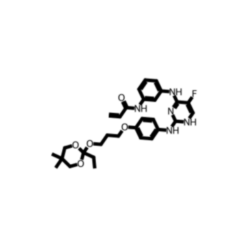 C=CC(=O)Nc1cccc(NC2=NC(Nc3ccc(OCCCOC4(CC)OCC(C)(C)CO4)cc3)NC=C2F)c1